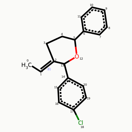 C/[C]=C1\CCC(c2ccccc2)OC1c1ccc(Cl)cc1